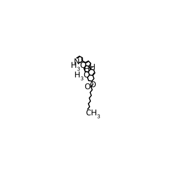 CCCCCCCCCC(=O)O[C@H]1CC[C@@]2(C)C(=CC[C@@H]3C2CC[C@]2(C)C(c4cccnc4)=CC[C@@H]32)C1